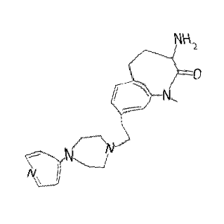 CN1C(=O)C(N)CCc2ccc(CN3CCN(c4ccncc4)CC3)cc21